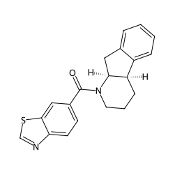 O=C(c1ccc2ncsc2c1)N1CCC[C@@H]2c3ccccc3C[C@@H]21